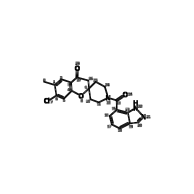 Cc1cc2c(cc1Cl)OC1(CCN(C(=O)c3cccc4cn[nH]c34)CC1)CC2=O